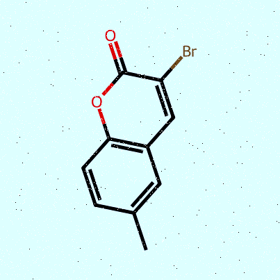 Cc1ccc2oc(=O)c(Br)cc2c1